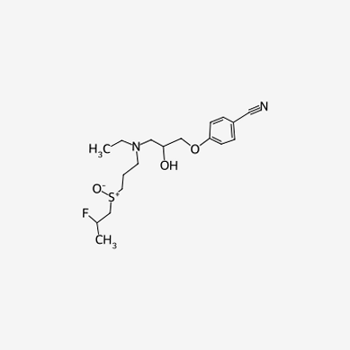 CCN(CCC[S+]([O-])CC(C)F)CC(O)COc1ccc(C#N)cc1